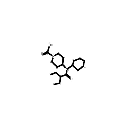 CCC(CC)C(=O)N(C1CCCCC1)C1CCN(C(=O)O)CC1